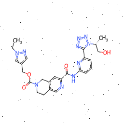 CCn1cc(COC(=O)N2CCc3cnc(C(=O)Nc4cccc(-c5nnnn5[C@H](C)CO)n4)cc3C2)cn1